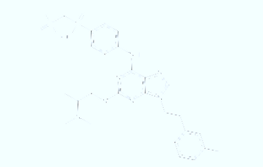 CC(CNc1nc(Nc2ccc(P(=O)(O)CP(=O)(O)O)cc2)c2ncn(CCc3cccc(O)c3)c2n1)N(C)C